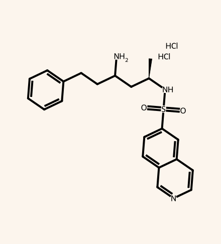 C[C@H](CC(N)CCc1ccccc1)NS(=O)(=O)c1ccc2cnccc2c1.Cl.Cl